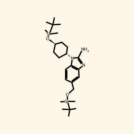 CC(C)(C)[Si](C)(C)OCc1ccc2c(c1)nc(N)n2[C@H]1CC[C@H](O[Si](C)(C)C(C)(C)C)CC1